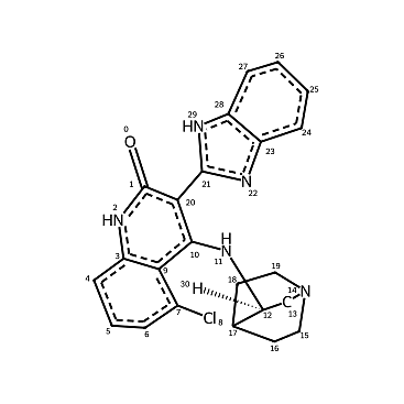 O=c1[nH]c2cccc(Cl)c2c(N[C@H]2CN3CCC2CC3)c1-c1nc2ccccc2[nH]1